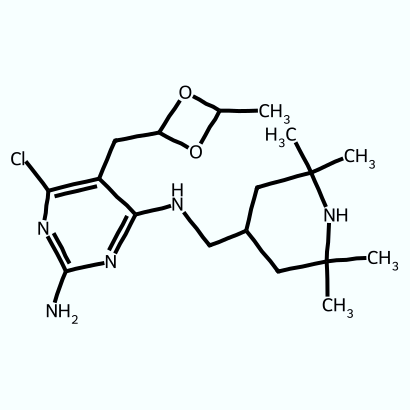 CC1OC(Cc2c(Cl)nc(N)nc2NCC2CC(C)(C)NC(C)(C)C2)O1